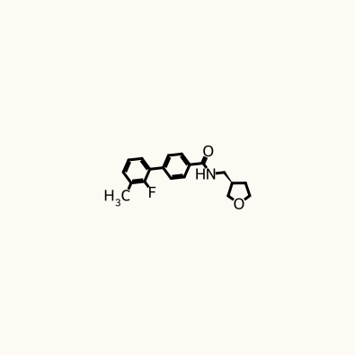 Cc1cccc(-c2ccc(C(=O)NC[C@H]3CCOC3)cc2)c1F